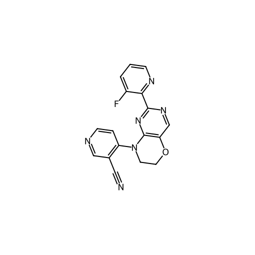 N#Cc1cnccc1N1CCOc2cnc(-c3ncccc3F)nc21